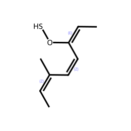 C\C=C(C)/C=C\C(=C/C)OS